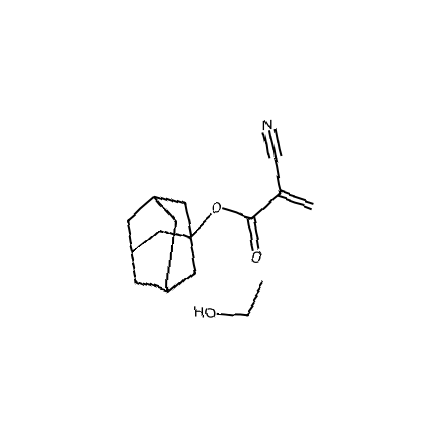 C=C(C#N)C(=O)OC12CC3CC(CC(C3)C1)C2.CCO